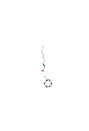 CCCCCCCCCCCCCCCC=CC(=O)NCc1ccccc1